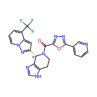 O=C(c1nnc(-c2cccnc2)o1)N1CCc2[nH]cnc2[C@@H]1c1cc2c(C(F)(F)F)cccn2n1